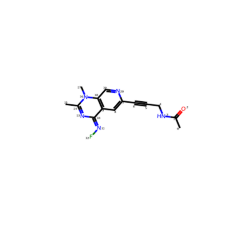 CC(=O)NCC#Cc1cc2/c(=N/F)nc(C)n(C)c2cn1